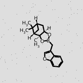 CC1(C)[C@@H]2C[C@H]3OB(Cc4coc5ccccc45)O[C@@]3(C)[C@H]1C2